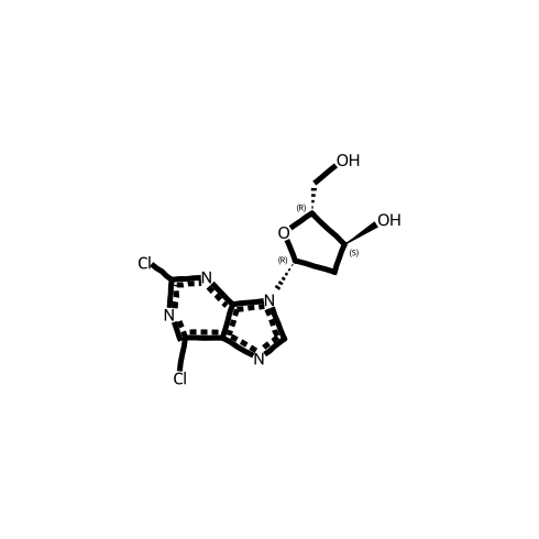 OC[C@H]1O[C@@H](n2cnc3c(Cl)nc(Cl)nc32)C[C@@H]1O